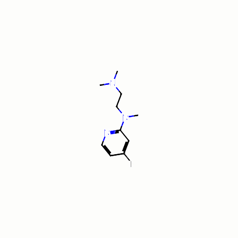 CCc1ccnc(N(C)CCN(C)C)c1